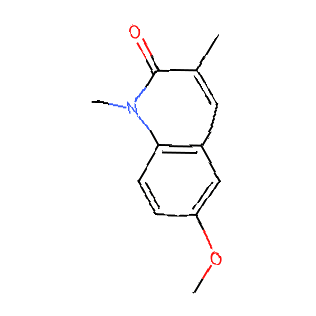 COc1ccc2c(c1)cc(C)c(=O)n2C